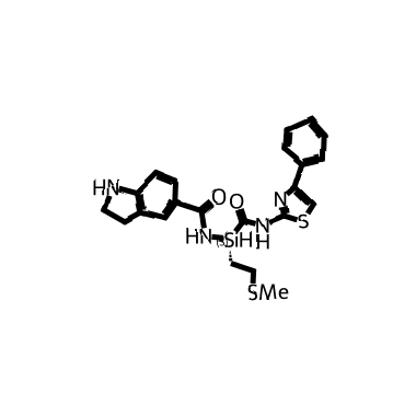 CSCC[Si@H](NC(=O)c1ccc2c(c1)CCN2)C(=O)Nc1nc(-c2ccccc2)cs1